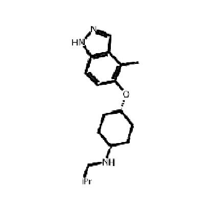 Cc1c(O[C@H]2CC[C@H](NCC(C)C)CC2)ccc2[nH]ncc12